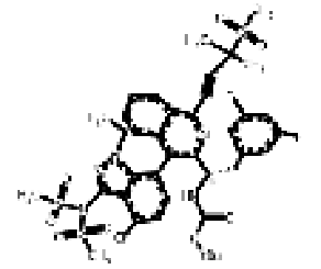 CC(C)(C)OC(=O)N[C@@H](Cc1cc(F)cc(F)c1)c1nc(C#CC(C)(C)S(C)(=O)=O)c2ccccc2c1-c1ccc(Cl)c2c(N(S(C)(=O)=O)S(C)(=O)=O)nn(CC(F)(F)F)c12